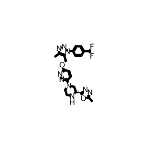 Cc1nnc([C@@H]2CN(c3ccc(OCc4c(C)nnn4-c4ccc(C(F)F)cc4)nn3)CCN2)o1